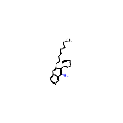 CCCCCCCCc1cc2ccccc2c(N)c1-c1ccccc1